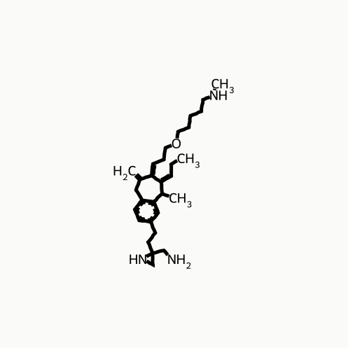 C=C1Cc2ccc(CCC3(CN)CN3)cc2C(C)C(=C/CC)/C1=C\CCOCCCCCNC